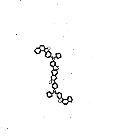 c1ccc(N(c2ccc3c(c2)oc2cc4cc5c(cc4cc23)sc2cc(N(c3ccccc3)c3ccc4c(c3)oc3ccc6ccccc6c34)ccc25)c2ccc3c(c2)oc2ccc4ccccc4c23)cc1